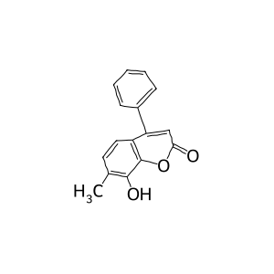 Cc1ccc2c(-c3ccccc3)cc(=O)oc2c1O